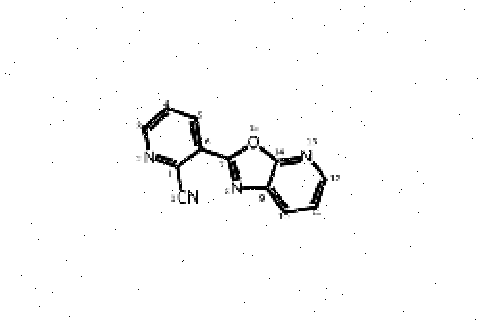 N#Cc1ncccc1-c1nc2cccnc2o1